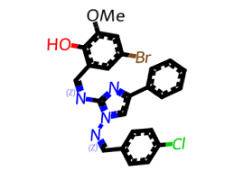 COc1cc(Br)cc(/C=N\c2nc(-c3ccccc3)cn2/N=C\c2ccc(Cl)cc2)c1O